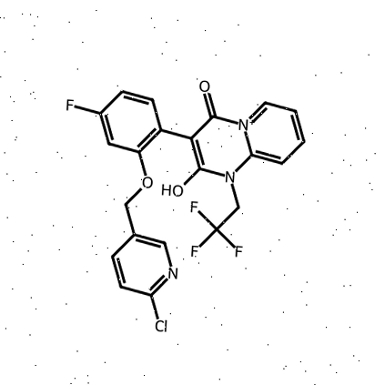 O=c1c(-c2ccc(F)cc2OCc2ccc(Cl)nc2)c(O)n(CC(F)(F)F)c2cccc[n+]12